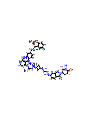 CCC(CN(C)C1CC(NCCNc2ccc3c(c2)CN([C@H]2CCC(=O)NC2=O)C3=O)C1)n1nc(-c2ccc(CNC(=O)c3cc(F)ccc3OC)cc2)c2c(N)ncnc21